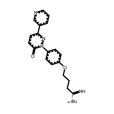 CC[C@@H](C)C(=N)CCCOc1ccc(-n2nc(-c3cccnc3)ccc2=O)cc1